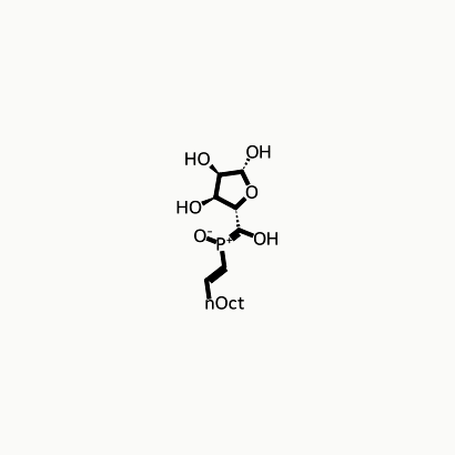 CCCCCCCCC=C[P+]([O-])=C(O)[C@H]1O[C@@H](O)[C@H](O)[C@@H]1O